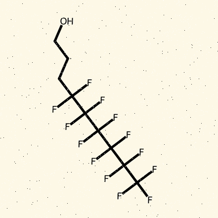 OC[CH]CC(F)(F)C(F)(F)C(F)(F)C(F)(F)C(F)(F)C(F)(F)F